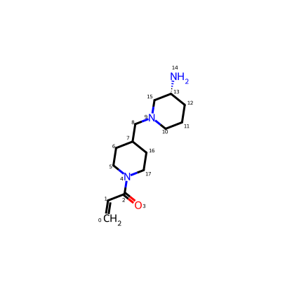 C=CC(=O)N1CCC(CN2CCC[C@@H](N)C2)CC1